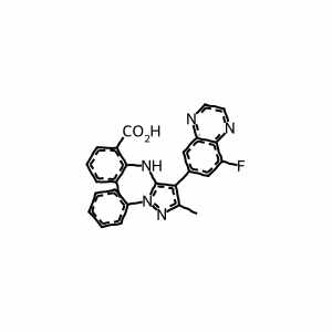 Cc1cccc(C(=O)O)c1Nc1c(-c2cc(F)c3nccnc3c2)c(C)nn1-c1ccccc1